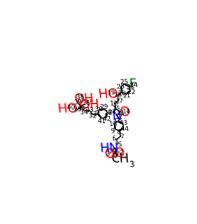 CS(=O)(=O)NCCCc1ccc(N2C(=O)C(CC[C@H](O)c3ccc(F)cc3)[C@H]2c2ccc(CCCC(O)(CO)CO)cc2)cc1